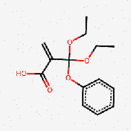 C=C(C(=O)O)C(OCC)(OCC)Oc1ccccc1